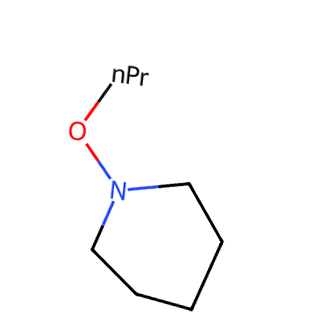 CCCON1CCCCC1